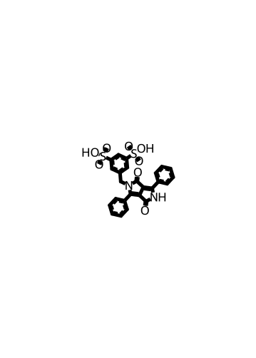 O=C1NC(c2ccccc2)=C2C(=O)N(Cc3cc(S(=O)(=O)O)cc(S(=O)(=O)O)c3)C(c3ccccc3)=C12